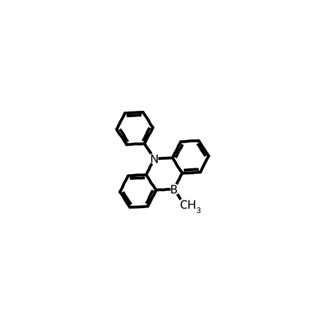 CB1c2ccccc2N(c2ccccc2)c2ccccc21